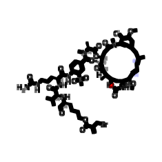 C=C(CBr)C(=O)OCCCC[C@@H](C=O)N[C@H](C(=O)N[C@@H](CCCNC(N)=O)C(=O)Nc1ccc(C(=O)N(C)[C@@H](C)C(=O)O[C@H]2CC(=O)N(C)c3cc(cc(OC)c3Cl)C/C(C)=C/C=C/[C@@H](OC)[C@@]3(O)C[C@H](OC(=O)N3)[C@@H](C)[C@@H]3O[C@@]23C)cc1S(C)(=O)=O)C(C)C